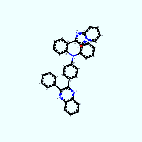 c1ccc(-c2nc3ccccc3nc2-c2ccc(N(c3ccccc3)c3ccccc3-c3cn4ccccc4n3)cc2)cc1